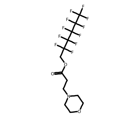 O=C(CCN1CCOCC1)OCC(F)(F)C(F)(F)C(F)(F)C(F)(F)C(F)(F)F